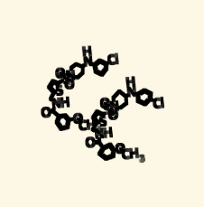 COc1cccc(C(=O)NCc2ccc(S(=O)(=O)N3CCC(Nc4ccc(Cl)cc4)CC3)s2)c1.COc1cccc(C(=O)NCc2ccc(S(=O)(=O)N3CCC(Nc4cccc(Cl)c4)CC3)s2)c1